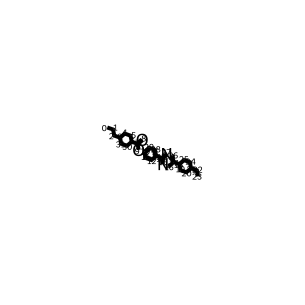 CCCC1CCC(C(=O)Oc2ccc(-c3ncc(C4CCC(CC)CC4)cn3)cc2)CC1